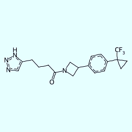 O=C(CCCc1cnn[nH]1)N1CC(c2ccc(C3(C(F)(F)F)CC3)cc2)C1